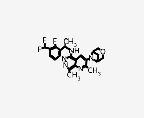 Cc1nc2c(C)nnc(N[C@H](C)c3cccc(C(F)F)c3F)c2cc1N1C2COCC1C2